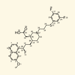 COc1ccc2nccc([C@H](F)CC[C@@H]3CCN(CCCSc4cc(F)cc(F)c4)C[C@@H]3CC(=O)O)c2c1